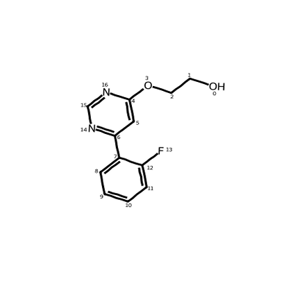 OCCOc1cc(-c2ccccc2F)ncn1